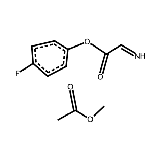 COC(C)=O.N=CC(=O)Oc1ccc(F)cc1